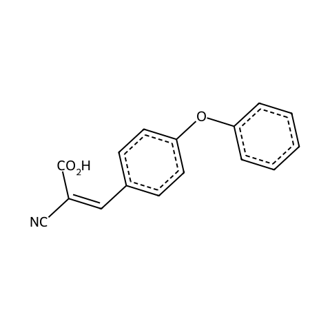 N#CC(=Cc1ccc(Oc2ccccc2)cc1)C(=O)O